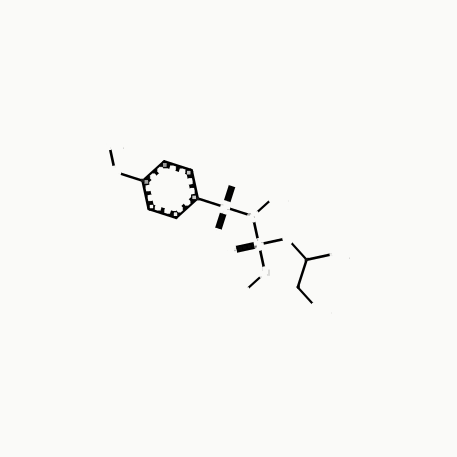 CCC(C)SP(=O)(NC)N(C)S(=O)(=O)c1ccc(OC)cc1